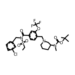 CCS(=O)(=O)N(Cc1cccc(Cl)c1)C(=O)c1ccc(CN2CCCC(N(C)C(=O)OC(C)(C)C)C2)c(OC(F)(F)F)c1